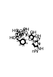 CCCNc1ccn([C@@H]2O[C@H](COP(=O)(O)OP(=O)(O)OP(=O)(O)SC3CCCCC3)C(O)[C@@H]2O)c(=O)n1